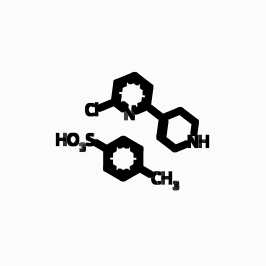 Cc1ccc(S(=O)(=O)O)cc1.Clc1cccc(C2=CCNCC2)n1